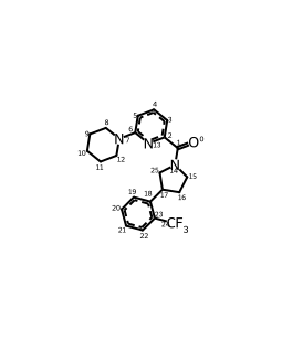 O=C(c1cccc(N2CCCCC2)n1)N1CCC(c2ccccc2C(F)(F)F)C1